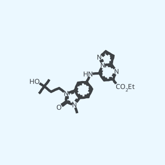 CCOC(=O)c1cc(Nc2ccc3c(c2)n(CCC(C)(C)O)c(=O)n3C)n2nccc2n1